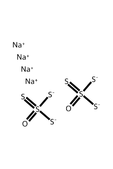 O=S(=S)([S-])[S-].O=S(=S)([S-])[S-].[Na+].[Na+].[Na+].[Na+]